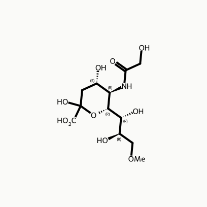 COC[C@@H](O)[C@@H](O)[C@@H]1OC(O)(C(=O)O)C[C@H](O)[C@H]1NC(=O)CO